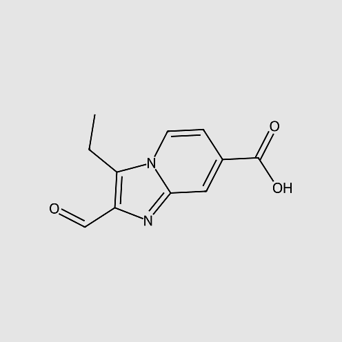 CCc1c(C=O)nc2cc(C(=O)O)ccn12